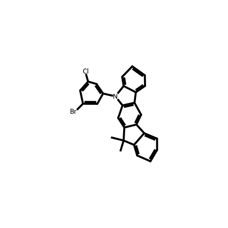 CC1(C)c2ccccc2-c2cc3c4ccccc4n(-c4cc(Cl)cc(Br)c4)c3cc21